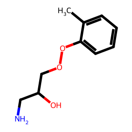 Cc1ccccc1OOCC(O)CN